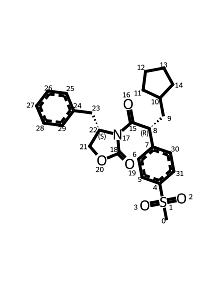 CS(=O)(=O)c1ccc([C@@H](CC2CCCC2)C(=O)N2C(=O)OC[C@@H]2Cc2ccccc2)cc1